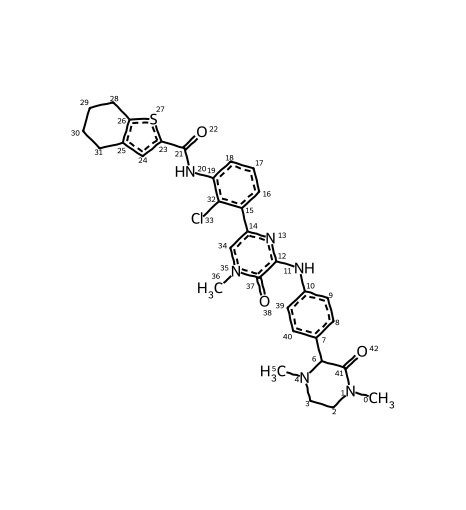 CN1CCN(C)C(c2ccc(Nc3nc(-c4cccc(NC(=O)c5cc6c(s5)CCCC6)c4Cl)cn(C)c3=O)cc2)C1=O